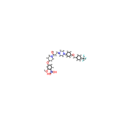 COc1cc(OC2CCN(C(=O)CCN3CCN(c4ccc(OCc5ccc(C(F)(F)F)cc5)cc4)CC3)CC2)ccc1N(O)O